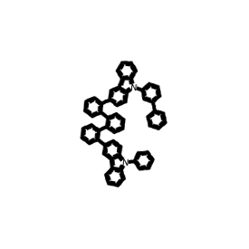 c1ccc(-c2cccc(-n3c4ccccc4c4cc(-c5ccccc5-c5ccccc5-c5ccccc5-c5ccc6c(c5)c5ccccc5n6-c5ccccc5)ccc43)c2)cc1